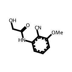 COc1cccc(NC(=O)CO)c1C#N